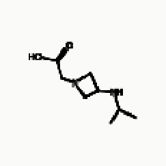 CC(C)NC1CN(CC(=O)O)C1